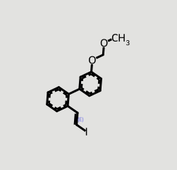 COCOc1cccc(-c2ccccc2/C=C/I)c1